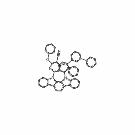 N#Cc1c(Oc2ccccc2)nc(-n2c3ccccc3c3ccc4c5ccccc5n(-c5cccc(-c6cccc(-c7ccccc7)c6)c5)c4c32)nc1Oc1ccccc1